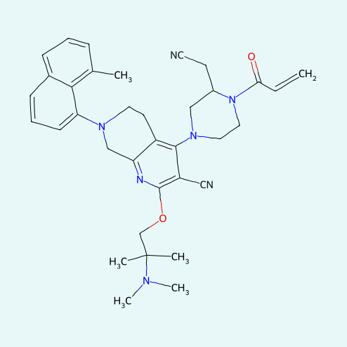 C=CC(=O)N1CCN(c2c(C#N)c(OCC(C)(C)N(C)C)nc3c2CCN(c2cccc4cccc(C)c24)C3)CC1CC#N